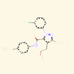 CCOC(=O)c1nn(-c2cccc(Cl)c2)c(C(=O)Nc2ccc(OC)cc2)c1CCO